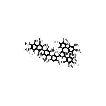 Bc1cc(B)c(-c2c(B)c(B)c(-c3c(B)c(B)c4c(B)c(B)c(B)c(B)c4c3B)c(B)c2B)c(B)c1-c1nc(-c2c(B)c(B)c(B)c(B)c2B)nc(-c2c(B)c(B)c(B)c3oc4c(B)c(B)c(B)c(B)c4c23)n1